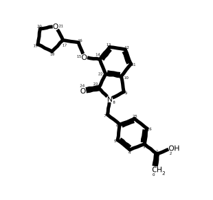 C=C(O)c1ccc(CN2Cc3cccc(OCC4CCCO4)c3C2=O)cc1